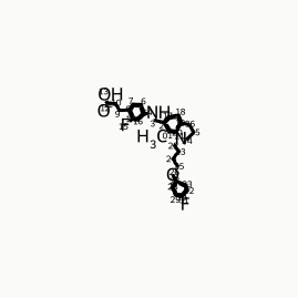 Cc1c(CNc2ccc(CCC(=O)O)c(F)c2)ccc2c1N(CCCCOc1ccc(F)cc1)CCC2